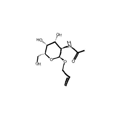 C=CCO[C@H]1O[C@H](CO)[C@H](O)[C@H](O)[C@H]1NC(C)=O